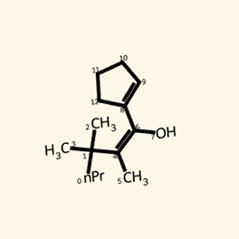 CCCC(C)(C)C(C)=C(O)C1=CCCC1